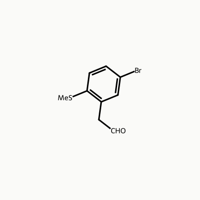 CSc1ccc(Br)cc1CC=O